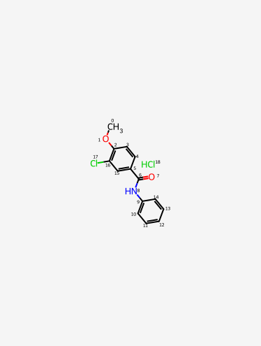 COc1ccc(C(=O)Nc2ccccc2)cc1Cl.Cl